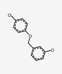 Clc1[c]ccc(COc2ccc(Cl)cc2)c1